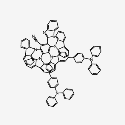 N#Cc1c(-c2nc3ccccc3s2)c(-n2c3ccccc3c3ccccc32)c(-n2c3ccccc3c3cc(-c4ccc(N(c5ccccc5)c5ccccc5)cc4)ccc32)c(-n2c3ccccc3c3cc(-c4ccc(N(c5ccccc5)c5ccccc5)cc4)ccc32)c1-n1c2ccccc2c2ccccc21